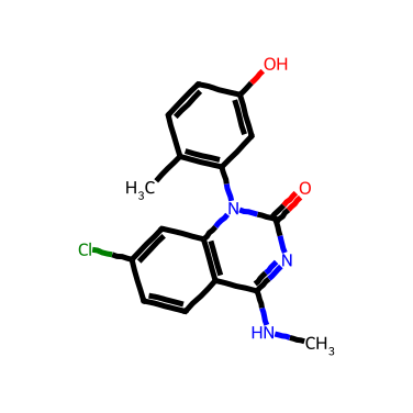 CNc1nc(=O)n(-c2cc(O)ccc2C)c2cc(Cl)ccc12